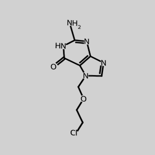 Nc1nc2ncn(COCCCl)c2c(=O)[nH]1